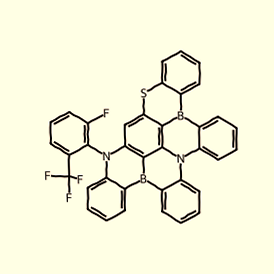 Fc1cccc(C(F)(F)F)c1N1c2ccccc2B2c3ccccc3N3c4ccccc4B4c5ccccc5Sc5cc1c2c3c54